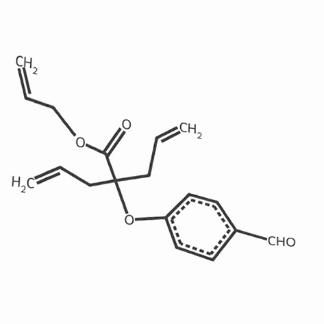 C=CCOC(=O)C(CC=C)(CC=C)Oc1ccc(C=O)cc1